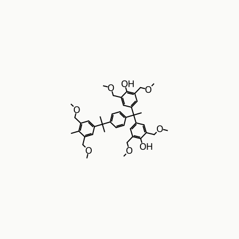 COCc1cc(C(C)(C)c2ccc(C(C)(c3cc(COC)c(O)c(COC)c3)c3cc(COC)c(O)c(COC)c3)cc2)cc(COC)c1C